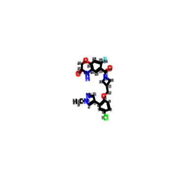 Cn1cc(-c2cc(Cl)ccc2OCC2CN(C(=O)c3cc4c(cc3F)OCC(=O)N4)C2)cn1